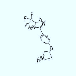 FC(F)(F)C1NC(c2ccc(OC3CCNC3)cc2)=NO1